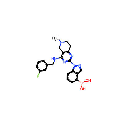 CN1CCc2nc(-n3ncc4c(B(O)O)cccc43)nc(NCc3cccc(F)c3)c2C1